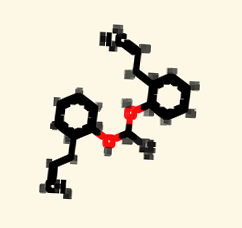 C=CCc1ccccc1OC(CC)Oc1ccccc1CC=C